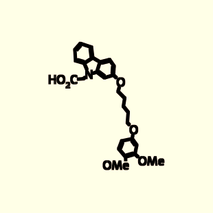 COc1ccc(OCCCCCOc2ccc3c4ccccc4n(CC(=O)O)c3c2)cc1OC